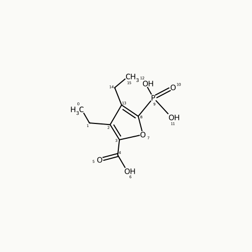 CCc1c(C(=O)O)oc(P(=O)(O)O)c1CC